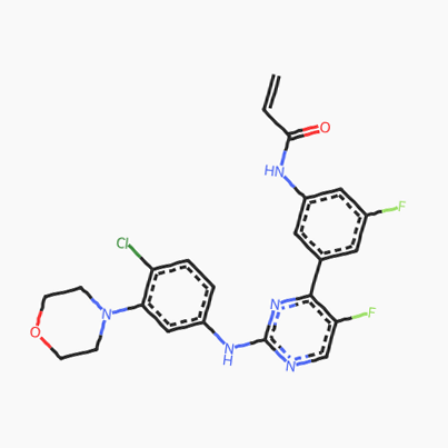 C=CC(=O)Nc1cc(F)cc(-c2nc(Nc3ccc(Cl)c(N4CCOCC4)c3)ncc2F)c1